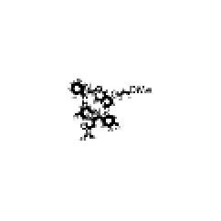 COCCCOc1ccnc(C[S+]([O-])c2nc3ccccc3[nH]2)c1C.Cc1ccc(-c2nc3ccc(C)cn3c2CC(=O)N(C)C)cc1